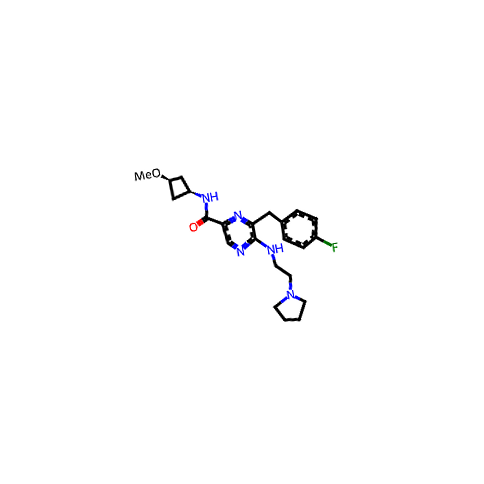 CO[C@H]1C[C@@H](NC(=O)c2cnc(NCCN3CCCC3)c(Cc3ccc(F)cc3)n2)C1